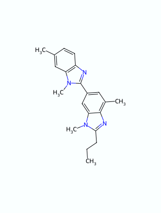 CCCc1nc2c(C)cc(-c3nc4ccc(C)cc4n3C)cc2n1C